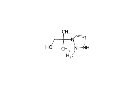 CN1NC=CN1C(C)(C)CO